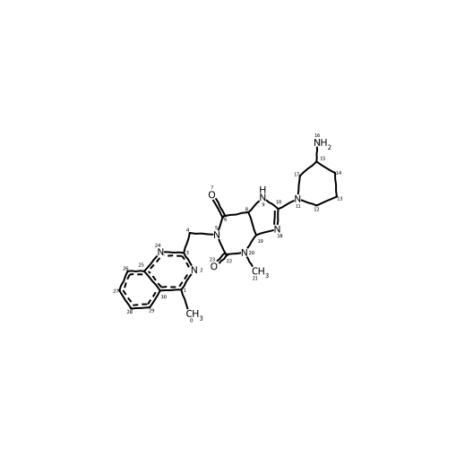 Cc1nc(CN2C(=O)C3NC(N4CCCC(N)C4)=NC3N(C)C2=O)nc2ccccc12